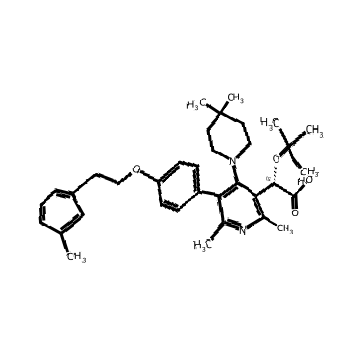 Cc1cccc(CCOc2ccc(-c3c(C)nc(C)c([C@H](OC(C)(C)C)C(=O)O)c3N3CCC(C)(C)CC3)cc2)c1